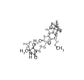 CCCc1cc2c(c(CCC)c1OCCCCN1C(=O)NC(C)(C3CC3)C1=O)COC2(C(F)(F)F)C(F)(F)F